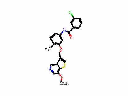 CCOC(=O)Oc1cncc2c(COc3cc(NC(=O)c4cccc(Cl)c4)ccc3C)csc12